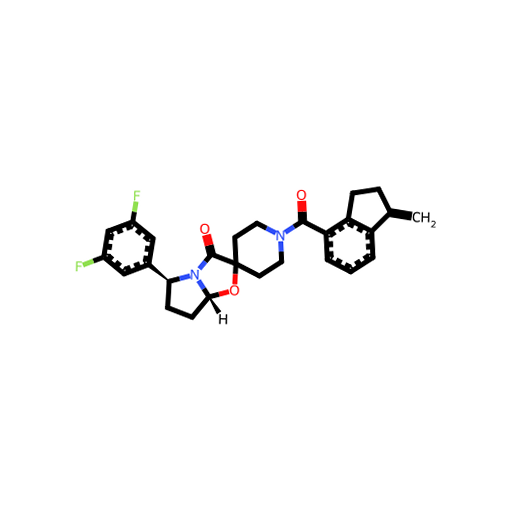 C=C1CCc2c1cccc2C(=O)N1CCC2(CC1)O[C@@H]1CC[C@@H](c3cc(F)cc(F)c3)N1C2=O